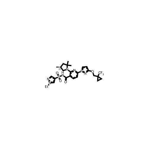 CCn1cc(S(=O)(=O)NC(=O)c2ccc(-n3ccc(OCC4(C(F)(F)F)CC4)n3)nc2N2C[C@@H](C)CC2(C)C)cn1